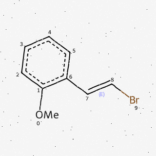 COc1ccccc1/C=C/Br